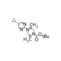 C[C@@H]1CN(c2ncc(C3CC3)cn2)[C@@H](C)CN1C(=O)OC(C)(C)C